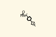 CC(=O)N[C@@H](C)c1ccc(C2CN(C)C2)cc1